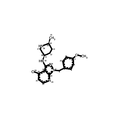 COc1ccc(Cn2nc(N[C@@H]3CC[C@H](C)NC3)c3c(Cl)ccnc32)cc1